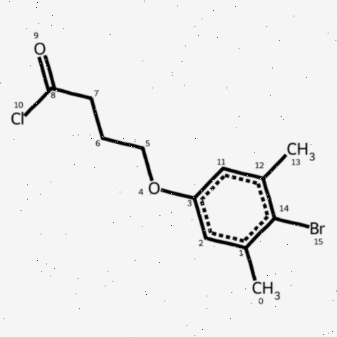 Cc1cc(OCCCC(=O)Cl)cc(C)c1Br